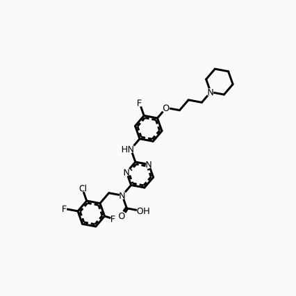 O=C(O)N(Cc1c(F)ccc(F)c1Cl)c1ccnc(Nc2ccc(OCCCN3CCCCC3)c(F)c2)n1